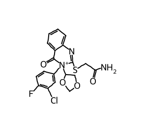 NC(=O)CSC1=Nc2ccccc2C(=O)[N+]1(c1ccc(F)c(Cl)c1)C1COCO1